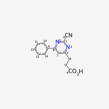 N#Cc1nc(CCC(=O)O)cc(-c2ccccc2)n1